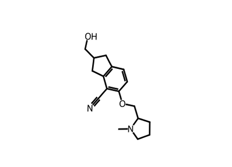 CN1CCCC1COc1ccc2c(c1C#N)CC(CO)C2